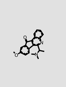 COc1ccc2c(c1)C(=O)c1c-2c(C(C)N(C)C)nc2ccccc12